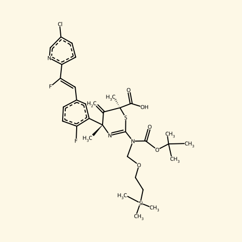 C=C1[C@@](C)(C(=O)O)SC(N(COCC[Si](C)(C)C)C(=O)OC(C)(C)C)=N[C@]1(C)c1cc(/C=C(\F)c2ccc(Cl)cn2)ccc1F